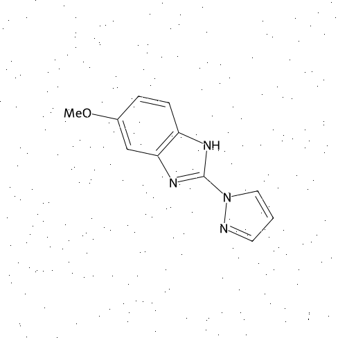 COc1ccc2[nH]c(-n3cccn3)nc2c1